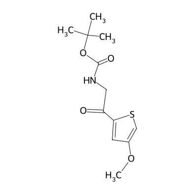 COc1csc(C(=O)CNC(=O)OC(C)(C)C)c1